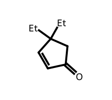 CCC1(CC)C=CC(=O)C1